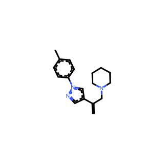 C=C(CN1CCCCC1)c1cnn(-c2ccc(C)cc2)c1